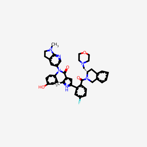 Cc1[nH]c(-c2cc(F)ccc2C(=O)N2Cc3ccccc3C[C@H]2CN2CCOCC2)cc1C(=O)N(c1ccc(O)cc1)c1cnc2c(c1)CCN2C